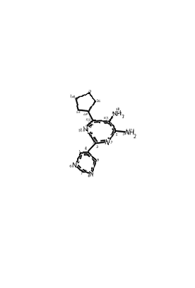 Nc1nc(-c2cncnc2)nc(C2CCCC2)c1N